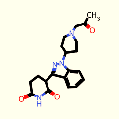 CC(=O)CN1CCC(n2nc(C3CCC(=O)NC3=O)c3ccccc32)CC1